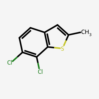 Cc1cc2ccc(Cl)c(Cl)c2s1